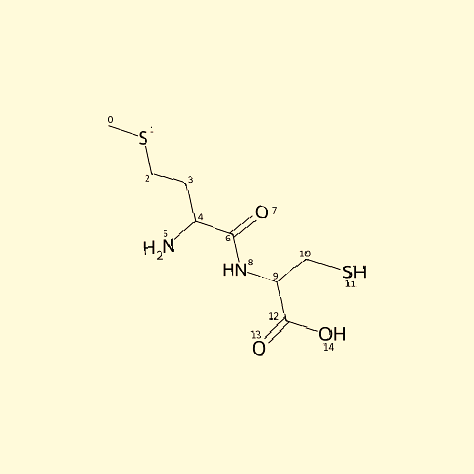 CSCCC(N)C(=O)NC(CS)C(=O)O